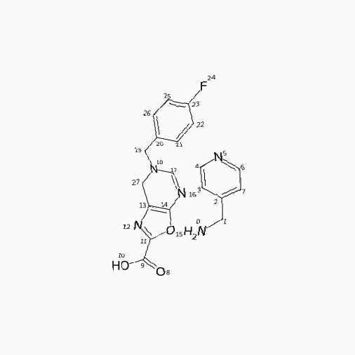 NCc1ccncc1.O=C(O)c1nc2c(o1)N=CN(Cc1ccc(F)cc1)C2